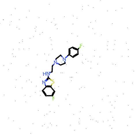 Fc1ccc(N2CCN(CCNc3nc4ccc(F)cc4s3)CC2)cc1